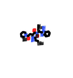 CC[C@H]1CCCCN1C(=O)C[C@H](NC(=O)CCC(C)(C)C)C(=O)N[C@@H](C)c1nc2ccccc2[nH]1